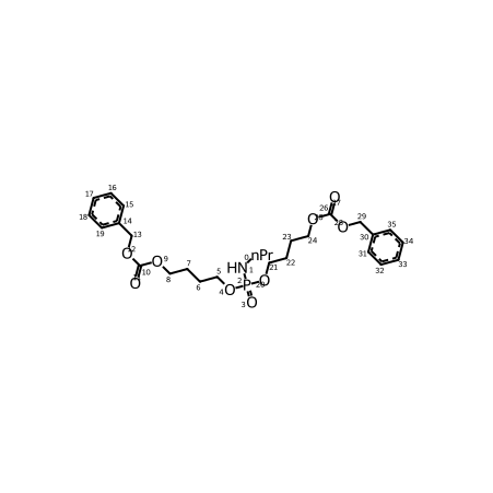 CCCNP(=O)(OCCCCOC(=O)OCc1ccccc1)OCCCCOC(=O)OCc1ccccc1